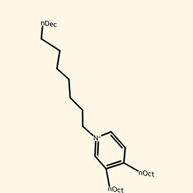 CCCCCCCCCCCCCCCCC[n+]1ccc(CCCCCCCC)c(CCCCCCCC)c1